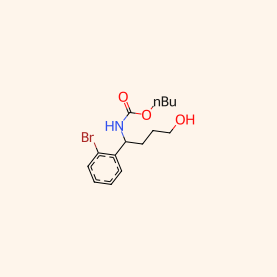 CCCCOC(=O)NC(CCCO)c1ccccc1Br